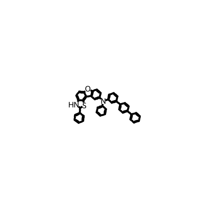 c1ccc(-c2ccc(-c3cccc(N(c4ccccc4)c4ccc5oc6ccc7c(c6c5c4)SC(c4ccccc4)N7)c3)cc2)cc1